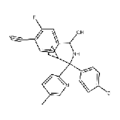 Cc1ccc(C(NC(O)c2ccc(C#N)c(F)c2)(c2ccc(Cl)cc2)C2CC2)nc1